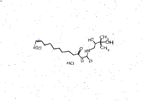 CCCCCCCC/C=C\CCCCCCCC(=O)NC(CC)NCC(O)C(C)(C)O.Cl